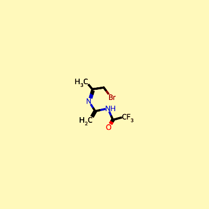 C=C(/N=C(/C)CBr)NC(=O)C(F)(F)F